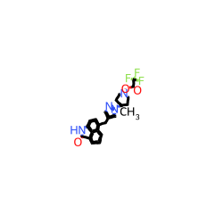 CC1(n2cc(Cc3ccc4c5c(cccc35)C(=O)N4)cn2)CCN(OC(=O)C(F)(F)F)CC1